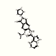 CC(C)Oc1cc2c(cc1NC(=O)c1cnn3cccnc13)CN([C@@H]1CCOC1)C2=O